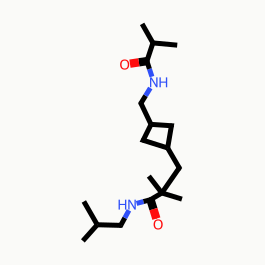 CC(C)CNC(=O)C(C)(C)CC1CC(CNC(=O)C(C)C)C1